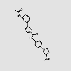 CNC1CCN(c2ccc(NC(=O)c3ccc(-c4cccc(NC(C)=O)c4)o3)cc2)C1